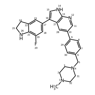 CN1CCN(Cc2ccc(-c3cnc4[nH]cc(-c5cc(F)c6c(c5)CCN6)c4c3)cc2)CC1